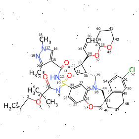 C=CCOC(C)(C)C(=O)N=S(=O)(NC(=O)c1cn(C)nc1C)c1ccc2c(c1)N(C[C@@H]1CC[C@H]1C(C=C)OC1CCCCO1)C[C@@]1(CCCc3cc(Cl)ccc31)CO2